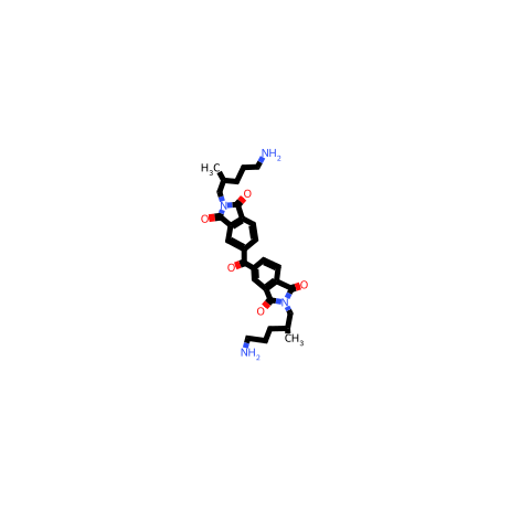 CC(CCCN)CN1C(=O)c2ccc(C(=O)c3ccc4c(c3)C(=O)N(CC(C)CCCN)C4=O)cc2C1=O